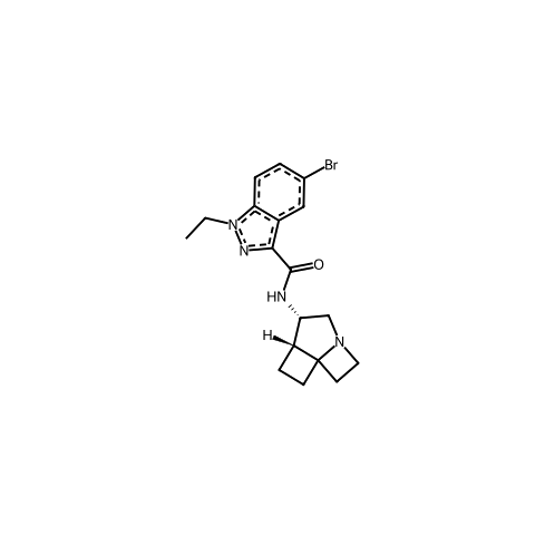 CCn1nc(C(=O)N[C@@H]2CN3CCC34CC[C@H]24)c2cc(Br)ccc21